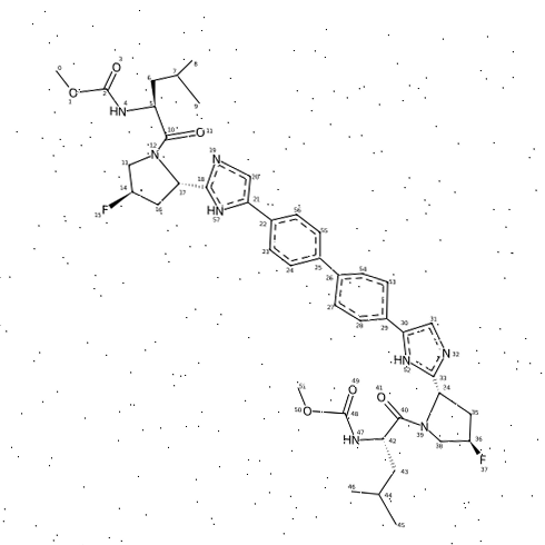 COC(=O)N[C@@H](CC(C)C)C(=O)N1C[C@H](F)C[C@H]1c1ncc(-c2ccc(-c3ccc(-c4cnc([C@@H]5C[C@@H](F)CN5C(=O)[C@H](CC(C)C)NC(=O)OC)[nH]4)cc3)cc2)[nH]1